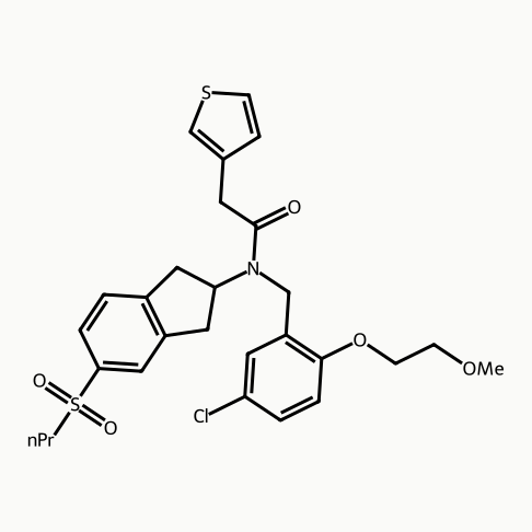 CCCS(=O)(=O)c1ccc2c(c1)CC(N(Cc1cc(Cl)ccc1OCCOC)C(=O)Cc1ccsc1)C2